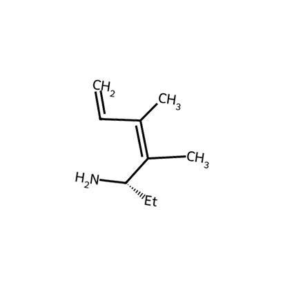 C=C/C(C)=C(/C)[C@@H](N)CC